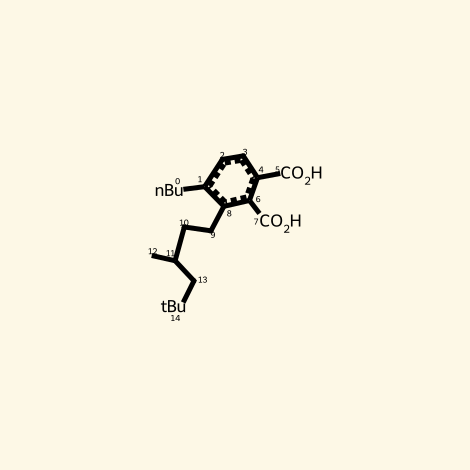 CCCCc1ccc(C(=O)O)c(C(=O)O)c1CCC(C)CC(C)(C)C